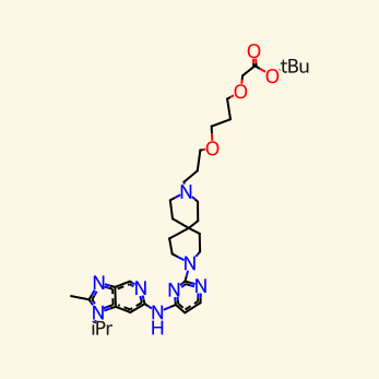 Cc1nc2cnc(Nc3ccnc(N4CCC5(CCN(CCCOCCCOCC(=O)OC(C)(C)C)CC5)CC4)n3)cc2n1C(C)C